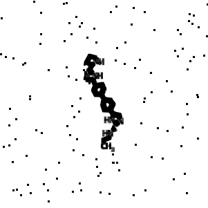 CCCNCc1ncc(-c2ccc(-c3ccc(-c4cnc(C5CCCN5)[nH]4)cc3)cc2)[nH]1